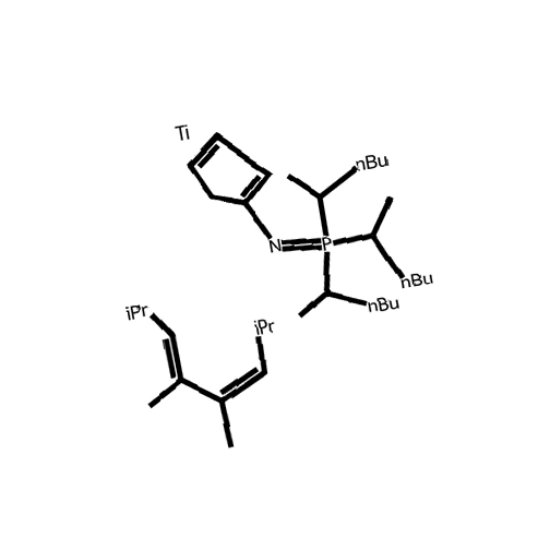 CC(=CC(C)C)C(C)=CC(C)C.CCCCC(C)P(=NC1=CC=CC1)(C(C)CCCC)C(C)CCCC.[Ti]